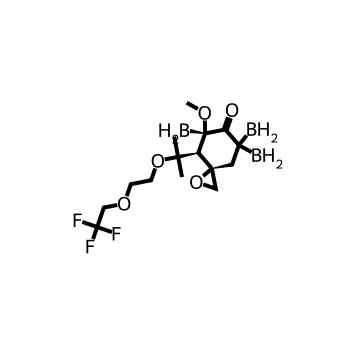 BC1(B)C[C@]2(CO2)[C@@H](C(C)(C)OCCOCC(F)(F)F)[C@](B)(OC)C1=O